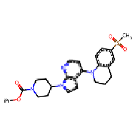 CC(C)OC(=O)N1CCC(n2ccc3c(N4CCCc5cc(S(C)(=O)=O)ccc54)ccnc32)CC1